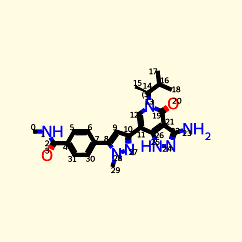 CNC(=O)c1ccc(-c2cc(-c3cn([C@@H](C)C(C)C)c(=O)c4c(N)n[nH]c34)nn2C)cc1